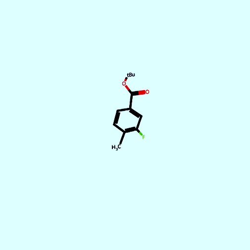 Cc1ccc(C(=O)OC(C)(C)C)cc1F